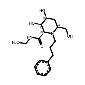 CCNC(=O)[C@@H]1[C@@H](O)[C@@H](O)C[C@@H](CO)N1CCCc1ccccc1